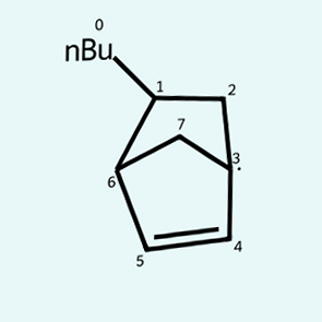 CCCCC1C[C]2C=CC1C2